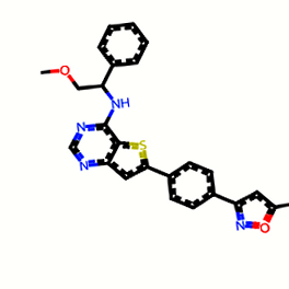 COCC(Nc1ncnc2cc(-c3ccc(-c4cc(C)on4)cc3)sc12)c1ccccc1